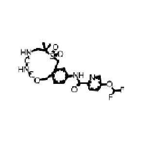 CC1(C)CNCNCOCc2ccc(NC(=O)c3ccc(OC(F)F)cn3)cc2CS1(=O)=O